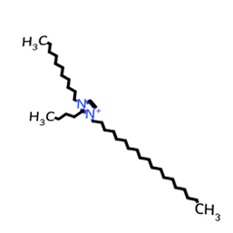 CCCCCCCCCCCCCCCCCCC[n+]1ccn(CCCCCCCCCCC)c1CCCC